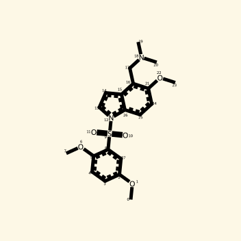 COc1ccc(OC)c(S(=O)(=O)n2ccc3c(CN(C)C)c(OC)ccc32)c1